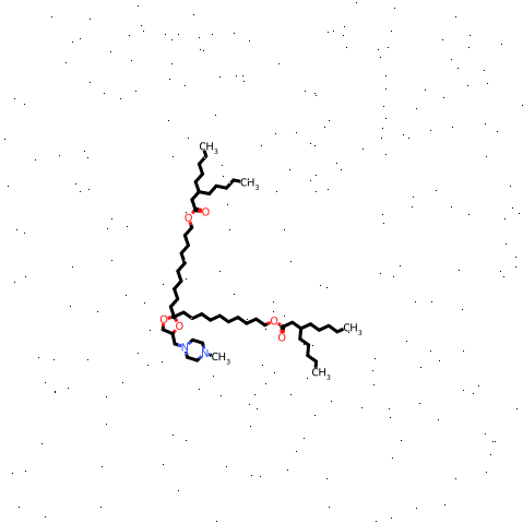 CCCCCC(CCCCC)CC(=O)OCCCCCCCCCCC1(CCCCCCCCCCOC(=O)CC(CCCCC)CCCCC)OCC(CN2CCN(C)CC2)O1